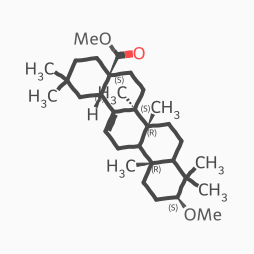 COC(=O)[C@]12CCC(C)(C)C[C@H]1C1=CCC3[C@@]4(C)CC[C@H](OC)C(C)(C)C4CC[C@@]3(C)[C@]1(C)CC2